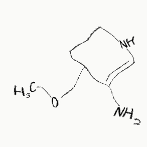 COC1CCNC=C1N